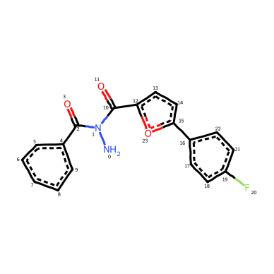 NN(C(=O)c1ccccc1)C(=O)c1ccc(-c2ccc(F)cc2)o1